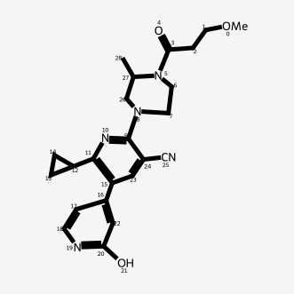 COCCC(=O)N1CCN(c2nc(C3CC3)c(-c3ccnc(O)c3)cc2C#N)CC1C